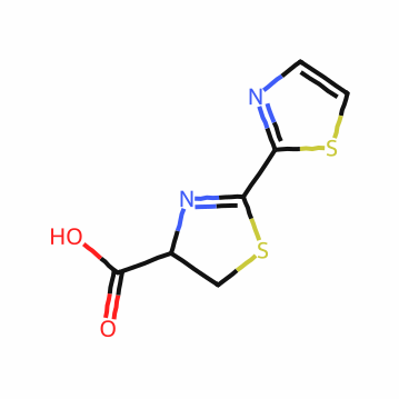 O=C(O)C1CSC(c2nccs2)=N1